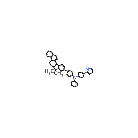 CC1(C)c2cc(-c3ccc(N(c4ccccc4)c4ccc(-c5ccccn5)cc4)cc3)ccc2-c2c1ccc1c2ccc2ccccc21